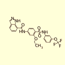 CCOc1cc(NC(=O)c2cccc3cn[nH]c23)ccc1S(=O)(=O)Nc1cccc(OC(F)(F)F)c1